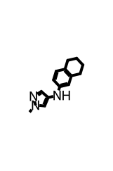 Cn1cc(Nc2ccc3c(c2)CCCC3)cn1